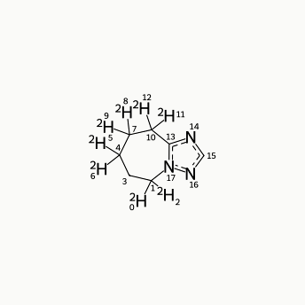 [2H]C1([2H])CC([2H])([2H])C([2H])([2H])C([2H])([2H])c2ncnn21